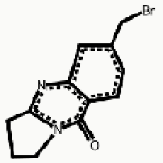 O=c1c2ccc(CBr)cc2nc2n1CCC2